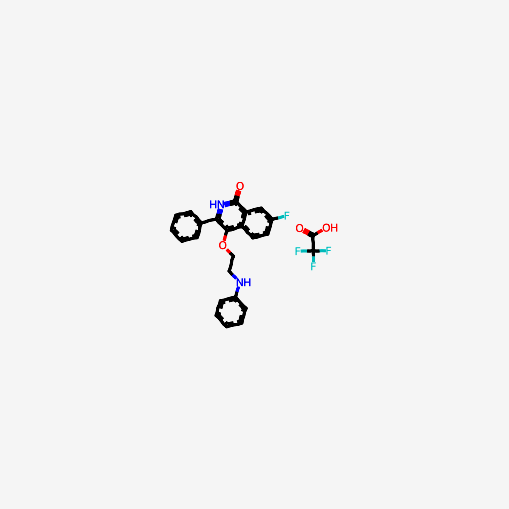 O=C(O)C(F)(F)F.O=c1[nH]c(-c2ccccc2)c(OCCNc2ccccc2)c2ccc(F)cc12